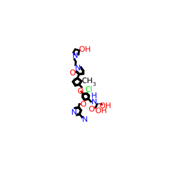 Cc1c(COc2cc(OCc3cncc(C#N)c3)c(CN[C@@H](CO)C(=O)O)cc2Cl)cccc1-c1cccn(CCCN2CC[C@@H](O)C2)c1=O